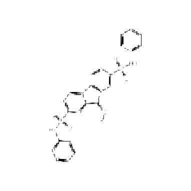 O=S(=O)(Nc1ccccc1)c1ccc2c(c1)C(=NO)c1cc(S(=O)(=O)Nc3ccccc3)ccc1-2